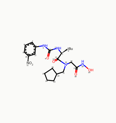 CC(C)(C)[C@H](NC(=O)Nc1cccc([N+](=O)[O-])c1)C(=O)N(CC(=O)NO)CC1CCCC1